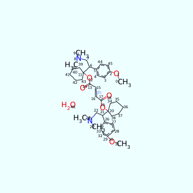 COc1ccc(C(CN(C)C)C2(OC(=O)/C=C/C(=O)OC3(C(CN(C)C)c4ccc(OC)cc4)CCCCC3)CCCCC2)cc1.O